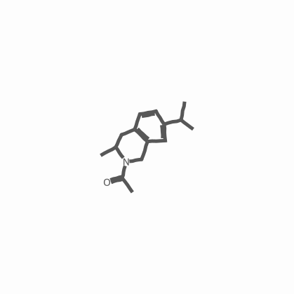 CC(=O)N1Cc2cc(C(C)C)ccc2CC1C